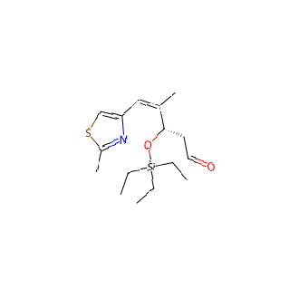 CC[Si](CC)(CC)O[C@@H](CC=O)C(C)=Cc1csc(C)n1